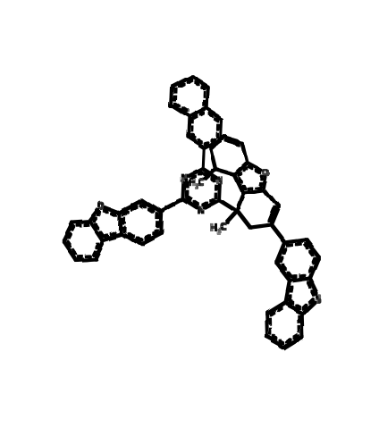 CC1CC=Cc2oc3c(c21)C(C)(c1nc(-c2ccc4ccccc4c2)nc(-c2ccc4c(c2)oc2ccccc24)n1)CC(c1ccc2sc4ccccc4c2c1)=C3